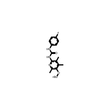 CCCCOc1c(C)nc(NC(=O)Nc2ccc(F)cc2)c(C)c1C